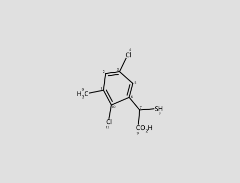 Cc1cc(Cl)cc(C(S)C(=O)O)c1Cl